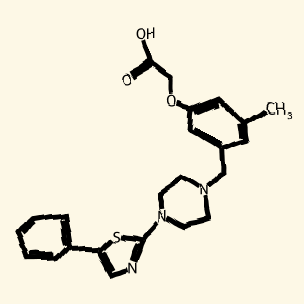 Cc1cc(CN2CCN(c3ncc(-c4ccccc4)s3)CC2)cc(OCC(=O)O)c1